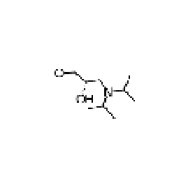 CC(C)N(C[C@H](O)C[O])C(C)C